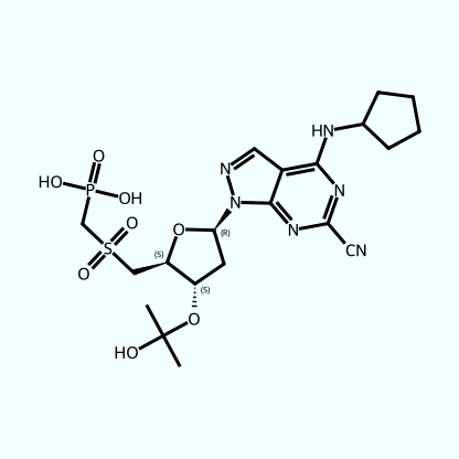 CC(C)(O)O[C@H]1C[C@H](n2ncc3c(NC4CCCC4)nc(C#N)nc32)O[C@@H]1CS(=O)(=O)CP(=O)(O)O